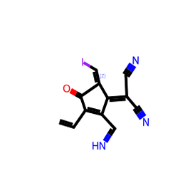 C=CC1=C(C=N)C(=C(C#N)C#N)/C(=C/I)C1=O